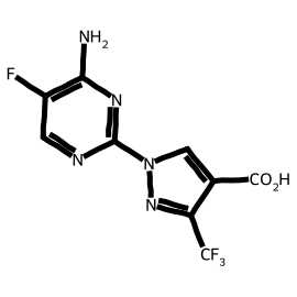 Nc1nc(-n2cc(C(=O)O)c(C(F)(F)F)n2)ncc1F